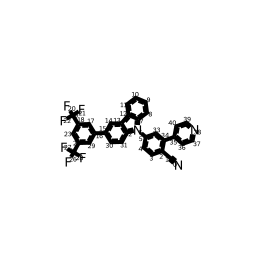 N#Cc1ccc(-n2c3ccccc3c3cc(-c4cc(C(F)(F)F)cc(C(F)(F)F)c4)ccc32)cc1-c1ccncc1